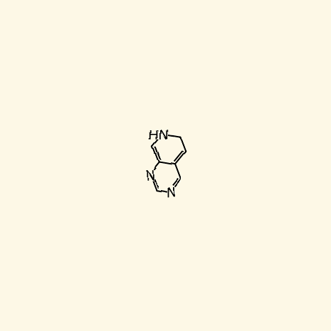 C1=c2cncnc2=CNC1